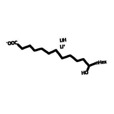 CCCCCCC(O)CCCCCCCCCCC(=O)[O-].[Li+].[LiH]